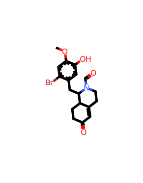 COc1cc(Br)c(CC2C3CCC(=O)C=C3CCN2C=O)cc1O